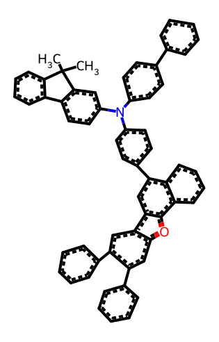 CC1(C)c2ccccc2-c2ccc(N(c3ccc(-c4ccccc4)cc3)c3ccc(-c4cc5c6cc(-c7ccccc7)c(-c7ccccc7)cc6oc5c5ccccc45)cc3)cc21